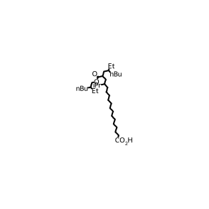 CCCCC(CC)COC(=O)C(CC(CC)CCCC)CC(CCCCCCCCCCCCCC(=O)O)C(C)C